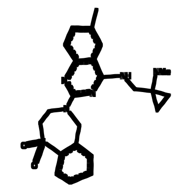 CNC1(CNc2nc(N3CCS(=O)(=O)c4ccccc4C3)nc3ccc(C)cc23)CC1